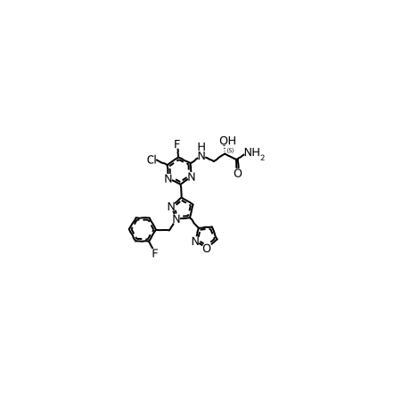 NC(=O)[C@@H](O)CNc1nc(-c2cc(-c3ccon3)n(Cc3ccccc3F)n2)nc(Cl)c1F